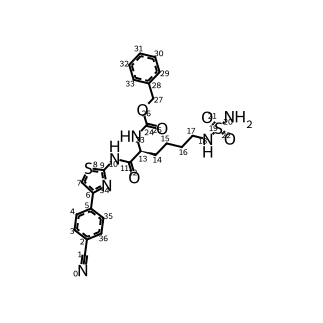 N#Cc1ccc(-c2csc(NC(=O)[C@H](CCCCNS(N)(=O)=O)NC(=O)OCc3ccccc3)n2)cc1